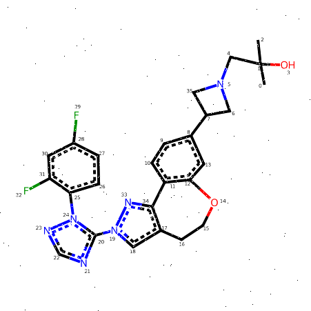 CC(C)(O)CN1CC(c2ccc3c(c2)OCCc2cn(-c4ncnn4-c4ccc(F)cc4F)nc2-3)C1